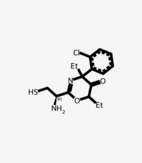 CCC1OC([C@@H](N)CS)=NC(CC)(c2ccccc2Cl)C1=O